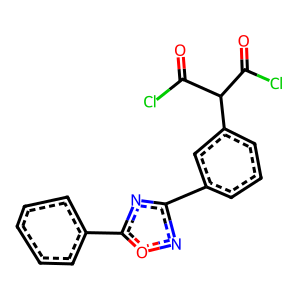 O=C(Cl)C(C(=O)Cl)c1cccc(-c2noc(-c3ccccc3)n2)c1